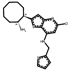 N[C@@H]1CCCCCC[C@H]1c1cc2nc(Cl)cc(NCc3cccs3)c2s1